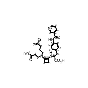 CCCC(=O)CCN(CCCC(=O)CC)C1=C(N[C@@H](Cc2ccc(NC(=O)c3cccnc3)cc2)C(=O)O)CC1